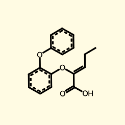 CC/C=C(\Oc1ccccc1Oc1ccccc1)C(=O)O